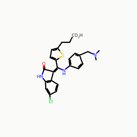 CN(C)Cc1ccc(NC(=C2C(=O)Nc3cc(Cl)ccc32)c2ccc(CCC(=O)O)s2)cc1